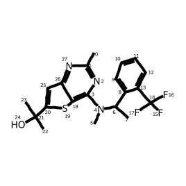 Cc1nc(N(C)C(C)c2ccccc2C(F)(F)F)c2sc(C(C)(C)O)cc2n1